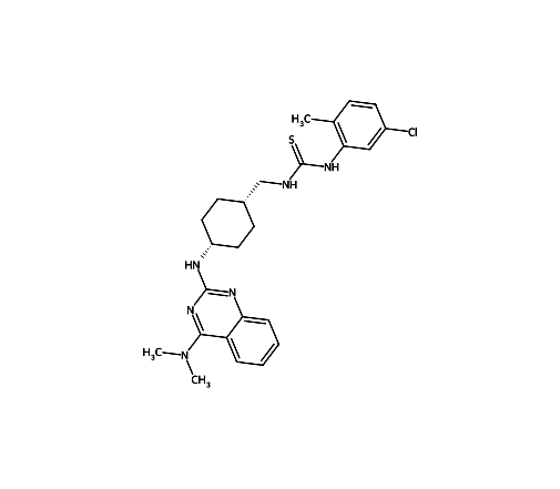 Cc1ccc(Cl)cc1NC(=S)NC[C@H]1CC[C@@H](Nc2nc(N(C)C)c3ccccc3n2)CC1